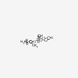 C#C[C@]1(OC(=O)COc2ccc(S(N)(=O)=O)cc2C)CCC2C3CCC4=CC(=O)CCC4C3CC[C@@]21CC